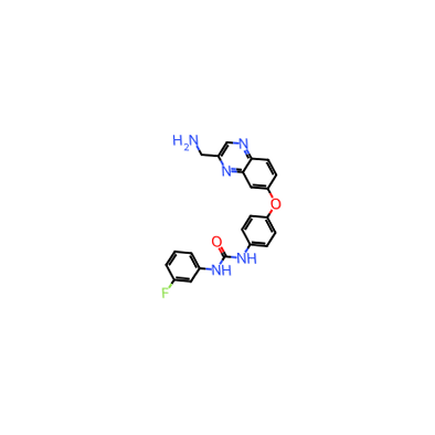 NCc1cnc2ccc(Oc3ccc(NC(=O)Nc4cccc(F)c4)cc3)cc2n1